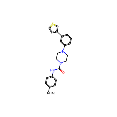 CC(=O)Nc1ccc(NC(=O)N2CCN(c3cccc(-c4ccsc4)c3)CC2)cc1